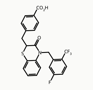 O=C(O)c1ccc(CC2Sc3ccccc3N(Cc3cc(F)ccc3C(F)(F)F)C2=O)cc1